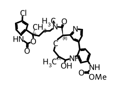 COC(=O)Nc1ccc2c(c1)NC(O)[C@@H](C)CCC[C@@H](C(=O)N(C)CCC[C@@]1(C)OC(=O)Nc3ccc(Cl)cc31)c1cc-2ccn1